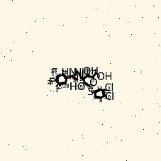 OCC1O[C@H](Sc2ccc(Cl)c(Cl)c2)C(O)C(N2C=C(c3cc(F)c(F)c(F)c3)NN2)[C@H]1O